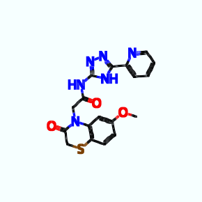 COc1ccc2c(c1)N(CC(=O)Nc1nnc(-c3ccccn3)[nH]1)C(=O)CS2